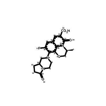 C[C@H]1COc2c(N3CCN4C(=O)CCC4C3)c(F)cc3cc(C(=O)O)c(=O)n1c23